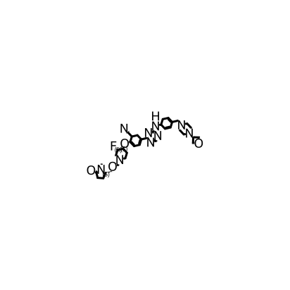 CN1C(=O)CC[C@H]1COCN1CC[C@H](OC2=CC=C(c3ncnc(NC4C=CC(CN5CCN(C6COC6)CC5)=CC4)n3)CC2C#N)[C@H](F)C1